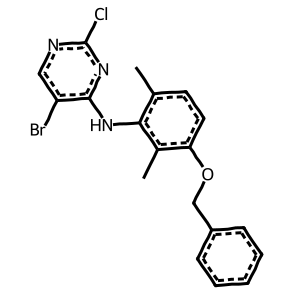 Cc1ccc(OCc2ccccc2)c(C)c1Nc1nc(Cl)ncc1Br